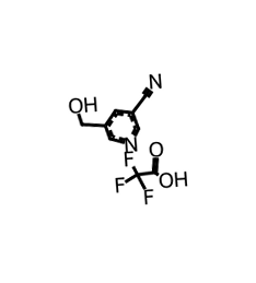 N#Cc1cncc(CO)c1.O=C(O)C(F)(F)F